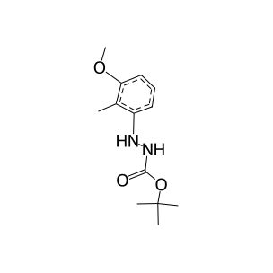 COc1cccc(NNC(=O)OC(C)(C)C)c1C